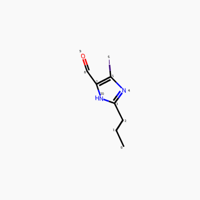 CCCc1nc(I)c(C=O)[nH]1